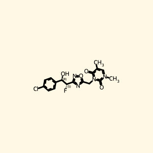 Cc1cn(C)c(=O)n(Cc2nc([C@H](F)[C@H](O)c3ccc(Cl)cc3)no2)c1=O